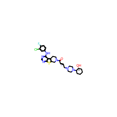 O=C(/C=C/CN1CCN(C2CCCC[C@H]2O)CC1)N1CCc2c(sc3ncnc(Nc4ccc(F)c(Cl)c4)c23)C1